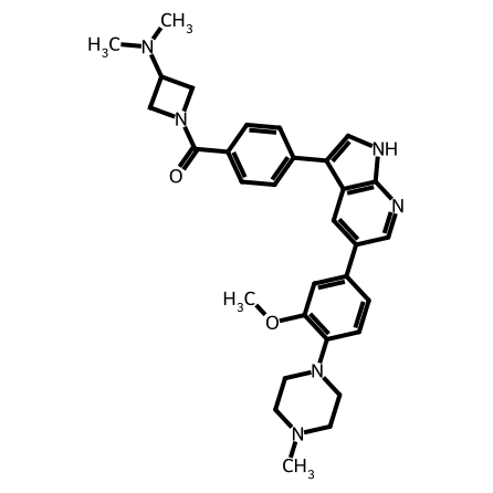 COc1cc(-c2cnc3[nH]cc(-c4ccc(C(=O)N5CC(N(C)C)C5)cc4)c3c2)ccc1N1CCN(C)CC1